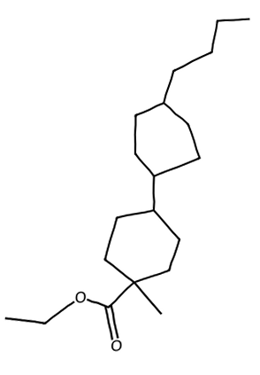 CCCCC1CCC(C2CCC(C)(C(=O)OCC)CC2)CC1